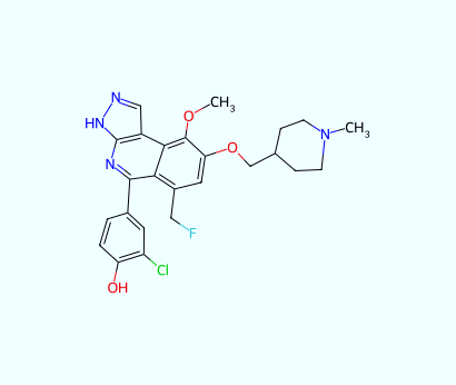 COc1c(OCC2CCN(C)CC2)cc(CF)c2c(-c3ccc(O)c(Cl)c3)nc3[nH]ncc3c12